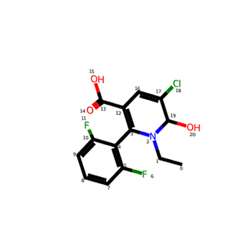 CCN1C(c2c(F)cccc2F)=C(C(=O)O)C=C(Cl)C1O